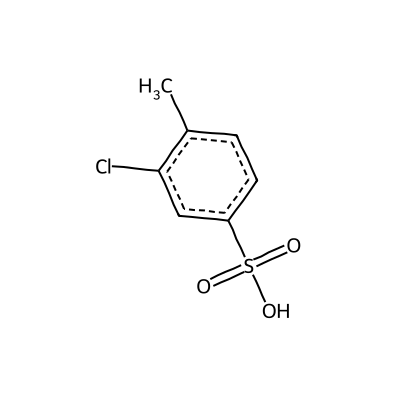 Cc1ccc(S(=O)(=O)O)cc1Cl